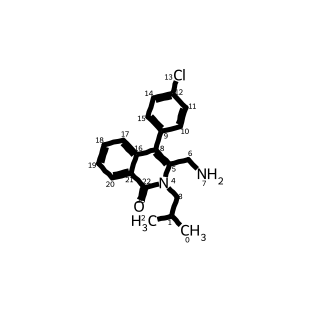 CC(C)Cn1c(CN)c(-c2ccc(Cl)cc2)c2ccccc2c1=O